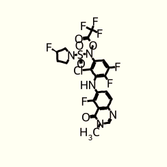 Cn1cnc2ccc(Nc3c(F)c(F)cc(N(OC(=O)C(F)(F)F)S(=O)(=O)N4CC[C@@H](F)C4)c3Cl)c(F)c2c1=O